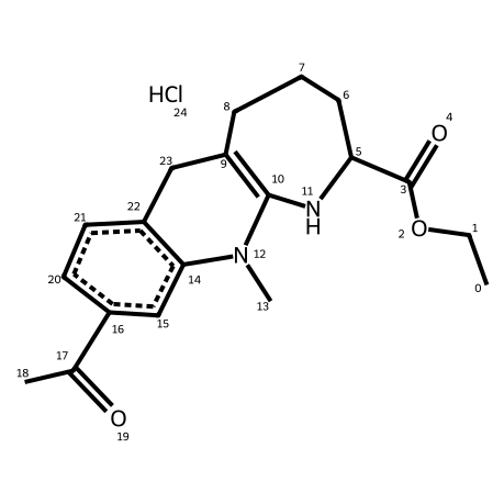 CCOC(=O)C1CCCC2=C(N1)N(C)c1cc(C(C)=O)ccc1C2.Cl